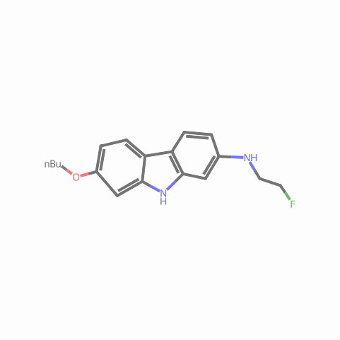 CCCCOc1ccc2c(c1)[nH]c1cc(NCCF)ccc12